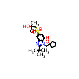 CC(C)(O)CS(=O)(=O)c1ccc2c(c1)nc(C(C)(C)C)n2CC1(O)CCCC1